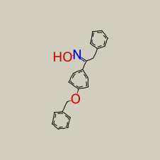 ON=C(Cc1ccccc1)c1ccc(OCc2ccccc2)cc1